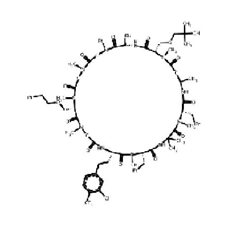 CC[C@H](C)[C@@H]1NC(=O)[C@H](COCC(C)(C)O)N(C)C(=O)C[C@@H](C)NC(=O)[C@H](CC(C)C)N(C)C(=O)C(C)(C)NC(=O)[C@H](CC(C)C)N(C)C(=O)[C@H](CCc2ccc(C(F)(F)F)c(Cl)c2)NC(=O)CN(C)C(=O)[C@H](COCCC(C)C)N(C)C(=O)CN(C)C(=O)CN(CC)C1=O